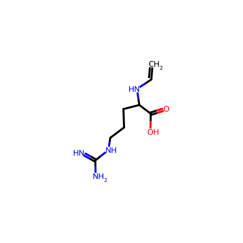 C=CNC(CCCNC(=N)N)C(=O)O